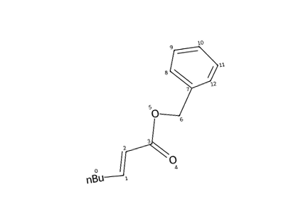 CCCCC=CC(=O)OCc1ccccc1